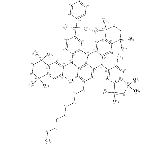 CCCCCCCCCc1cc2c3c(c1)N(c1cc4c(cc1C)C(C)(C)CC4(C)C)c1cc4c(cc1B3c1cc(C(C)(C)c3ccccc3)ccc1N2c1cc2c(cc1C)C(C)(C)CCC2(C)C)C(C)(C)CCC4(C)C